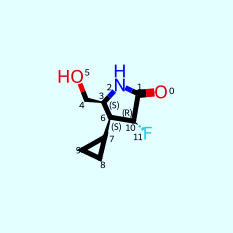 O=C1N[C@H](CO)[C@H](C2CC2)[C@H]1F